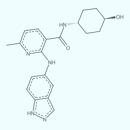 Cc1ccc(C(=O)N[C@H]2CC[C@H](O)CC2)c(Nc2ccc3[nH]ncc3c2)n1